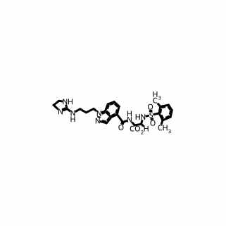 Cc1cccc(C)c1S(=O)(=O)NC(CNC(=O)c1cccc2c1cnn2CCCNC1=NCCN1)C(=O)O